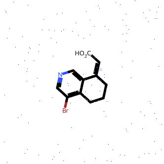 O=C(O)/C=C1/CCCc2c(Br)cncc21